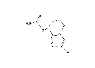 NC(=O)OC1CCCc2cc(Br)ccc21